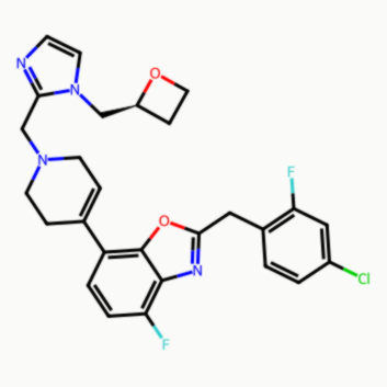 Fc1cc(Cl)ccc1Cc1nc2c(F)ccc(C3=CCN(Cc4nccn4C[C@@H]4CCO4)CC3)c2o1